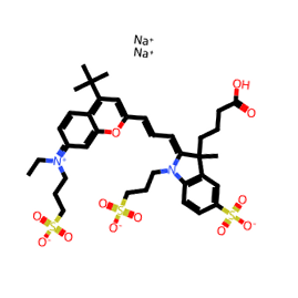 CC[N+](CCCS(=O)(=O)[O-])=c1ccc2c(C(C)(C)C)cc(C=CC=C3N(CCCS(=O)(=O)[O-])c4ccc(S(=O)(=O)[O-])cc4C3(C)CCCC(=O)O)oc-2c1.[Na+].[Na+]